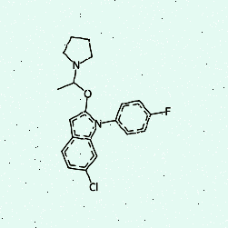 CC(Oc1cc2ccc(Cl)cc2n1-c1ccc(F)cc1)N1CCCC1